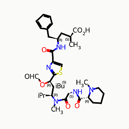 CC[C@H](C)[C@H](NC(=O)[C@H]1CCCCN1C)C(=O)N(C)[C@H](C[C@@H](OC=O)c1nc(C(=O)N[C@@H](Cc2ccccc2)C[C@H](C)C(=O)O)cs1)C(C)C